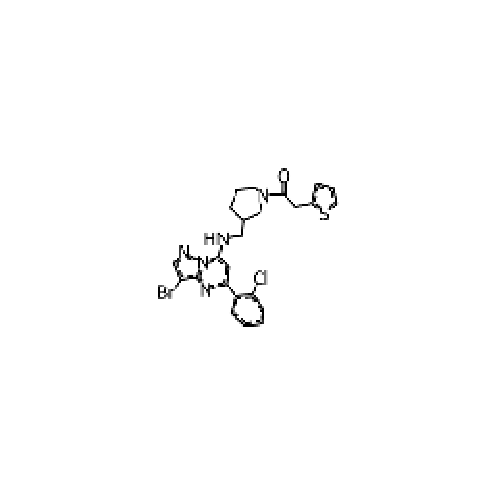 O=C(Cc1cccs1)N1CCCC(CNc2cc(-c3ccccc3Cl)nc3c(Br)cnn23)C1